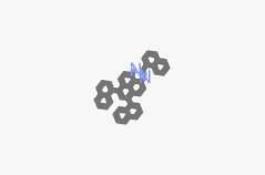 c1ccc2c(-c3nc4ccc5c(-c6cccc7ccccc67)cc(-c6cccc7ccccc67)c6ccc(n3)c4c56)cccc2c1